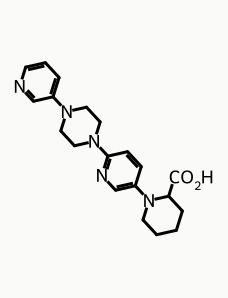 O=C(O)C1CCCCN1c1ccc(N2CCN(c3cccnc3)CC2)nc1